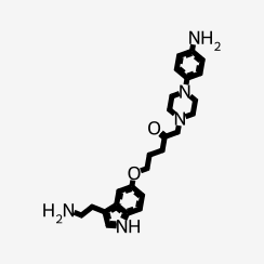 NCCc1c[nH]c2ccc(OCCCC(=O)CN3CCN(c4ccc(N)cc4)CC3)cc12